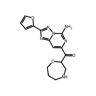 Nc1nc(C(=O)C2CNCCCO2)cc2nc(-c3ccco3)nn12